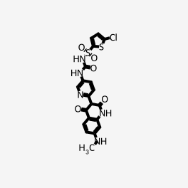 CNc1ccc2c(c1)NC(=O)C(c1ccc(NC(=O)NS(=O)(=O)c3ccc(Cl)s3)cn1)C2=O